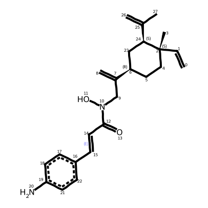 C=C[C@]1(C)CC[C@@H](C(=C)CN(O)C(=O)/C=C/c2ccc(N)cc2)C[C@H]1C(=C)C